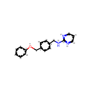 c1ccc(OCc2ccc(CNc3ncccn3)cc2)cc1